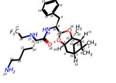 CC1(C)[C@@H]2C[C@H]3OB([C@H](Cc4ccccc4)NC(=O)[C@H](CCCCN)NCC(F)(F)F)O[C@@]3(C)[C@H]1C2